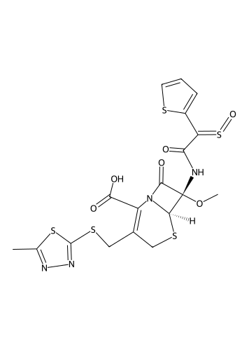 CO[C@@]1(NC(=O)C(=S=O)c2cccs2)C(=O)N2C(C(=O)O)=C(CSc3nnc(C)s3)CS[C@@H]21